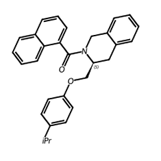 CC(C)c1ccc(OC[C@@H]2Cc3ccccc3CN2C(=O)c2cccc3ccccc23)cc1